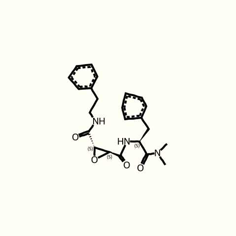 CN(C)C(=O)[C@H](Cc1ccccc1)NC(=O)[C@H]1O[C@@H]1C(=O)NCCc1ccccc1